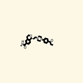 CCC(=O)c1ccc(N2CCN(CC[C@@H]3OCCc4cc(C(=O)NC)ccc43)CC2)cc1